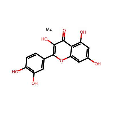 O=c1c(O)c(-c2ccc(O)c(O)c2)oc2cc(O)cc(O)c12.[Mo]